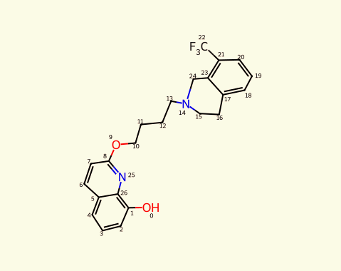 Oc1cccc2ccc(OCCCCN3CCc4cccc(C(F)(F)F)c4C3)nc12